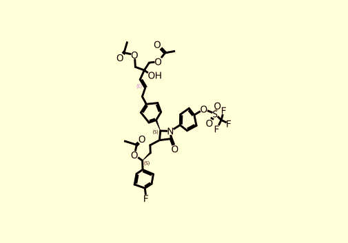 CC(=O)OCC(O)(/C=C/Cc1ccc([C@@H]2C(CC[C@H](OC(C)=O)c3ccc(F)cc3)C(=O)N2c2ccc(OS(=O)(=O)C(F)(F)F)cc2)cc1)COC(C)=O